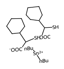 CCC[CH2][Sn+2][CH2]CCC.O=C([O-])C(S)C1CCCCC1.O=C([O-])C(S)C1CCCCC1